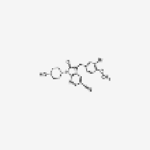 COc1ccc(Cn2c(=O)n(C3CCC(O)CC3)c3ncc(C#N)cc32)cc1Br